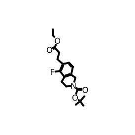 CCOC(=O)CCc1ccc2c(c1F)CCN(C(=O)OC(C)(C)C)C2